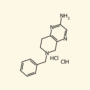 Cl.Cl.Nc1cnc2c(n1)CCN(Cc1ccccc1)C2